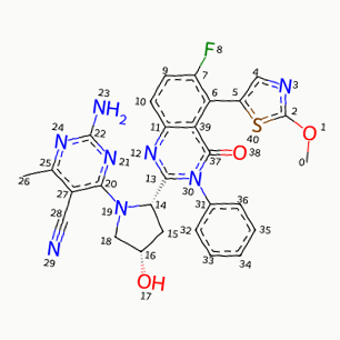 COc1ncc(-c2c(F)ccc3nc([C@@H]4C[C@H](O)CN4c4nc(N)nc(C)c4C#N)n(-c4ccccc4)c(=O)c23)s1